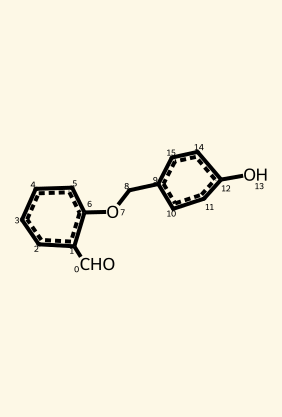 O=Cc1ccccc1OCc1ccc(O)cc1